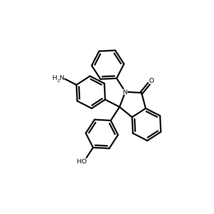 Nc1ccc(C2(c3ccc(O)cc3)c3ccccc3C(=O)N2c2ccccc2)cc1